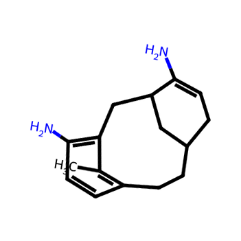 Cc1c2ccc(N)c1CC1CC(CC=C1N)CC2